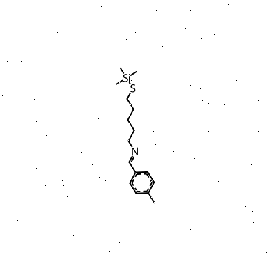 Cc1ccc(C=NCCCCCS[Si](C)(C)C)cc1